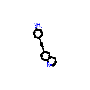 Nc1ccc(C#Cc2ccc3ncccc3c2)cc1